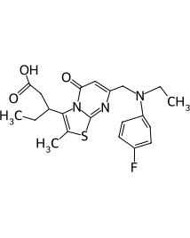 CCC(CC(=O)O)c1c(C)sc2nc(CN(CC)c3ccc(F)cc3)cc(=O)n12